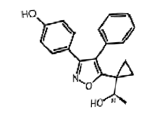 C[C@@H](O)C1(c2onc(-c3ccc(O)cc3)c2-c2ccccc2)CC1